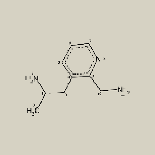 CC(N)Cc1cccnc1CN